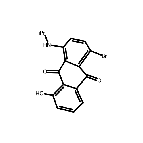 CC(C)Nc1ccc(Br)c2c1C(=O)c1c(O)cccc1C2=O